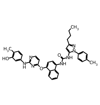 CCCCc1cc(NC(=O)Nc2ccc(Oc3ccnc(Nc4ccc(C)c(O)c4)n3)c3ccccc23)n(-c2ccc(C)cc2)n1